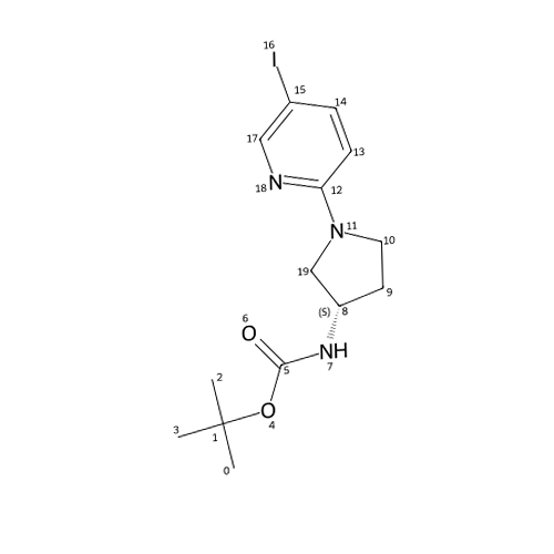 CC(C)(C)OC(=O)N[C@H]1CCN(c2ccc(I)cn2)C1